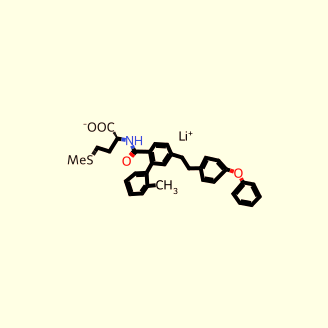 CSCC[C@H](NC(=O)c1ccc(CCc2ccc(Oc3ccccc3)cc2)cc1-c1ccccc1C)C(=O)[O-].[Li+]